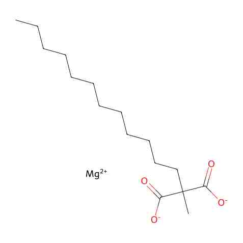 CCCCCCCCCCCCC(C)(C(=O)[O-])C(=O)[O-].[Mg+2]